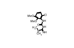 COc1ccc(Cl)c(NC(=O)NC(=N)N(C)C)c1OC